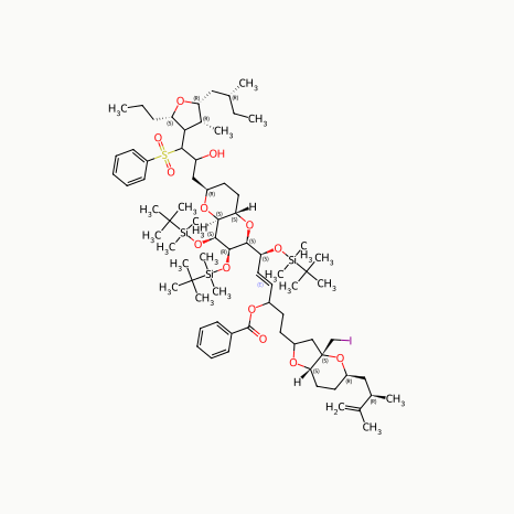 C=C(C)[C@H](C)C[C@H]1CC[C@@H]2OC(CCC(/C=C/[C@H](O[Si](C)(C)C(C)(C)C)[C@@H]3O[C@H]4CC[C@H](CC(O)C(C5[C@H](CCC)O[C@H](C[C@H](C)CC)[C@@H]5C)S(=O)(=O)c5ccccc5)O[C@@H]4[C@H](O[Si](C)(C)C(C)(C)C)[C@@H]3O[Si](C)(C)C(C)(C)C)OC(=O)c3ccccc3)C[C@]2(CI)O1